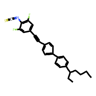 CCCCC(CC)c1ccc(-c2ccc(C#Cc3cc(F)c(N=C=S)c(F)c3)cc2)cc1